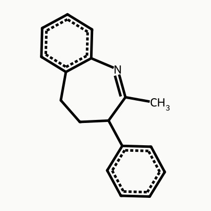 CC1=Nc2ccccc2CCC1c1ccccc1